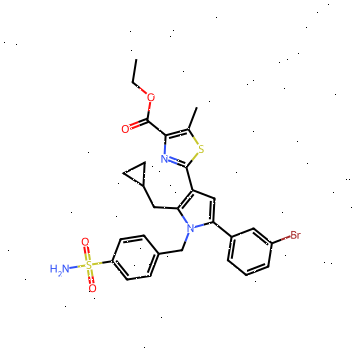 CCOC(=O)c1nc(-c2cc(-c3cccc(Br)c3)n(Cc3ccc(S(N)(=O)=O)cc3)c2CC2CC2)sc1C